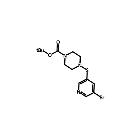 CC(C)(C)OC(=O)N1CCN(Sc2cncc(Br)c2)CC1